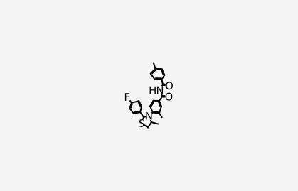 Cc1ccc(C(=O)NC(=O)c2ccc(N3C(C)CSC3c3ccc(F)cc3)c(C)c2)cc1